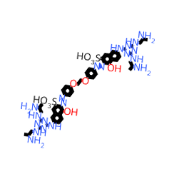 CC(N)CNc1nc(NCC(C)N)nc(Nc2ccc3c(O)c(/N=N/c4ccc(OCCOc5ccc(/N=N/c6c(S(=O)(=O)O)cc7cc(Nc8nc(NCC(C)N)nc(NCC(C)N)n8)ccc7c6O)cc5)cc4)c(S(=O)(=O)O)cc3c2)n1